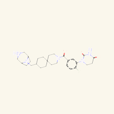 O=C1CCN(c2cc(C(=O)N3CCC4(CCC(CN5C6CCC5CNC6)CC4)CC3)ccc2Cl)C(=O)N1